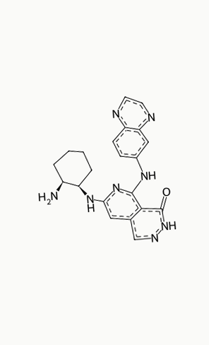 N[C@H]1CCCC[C@H]1Nc1cc2cn[nH]c(=O)c2c(Nc2ccc3nccnc3c2)n1